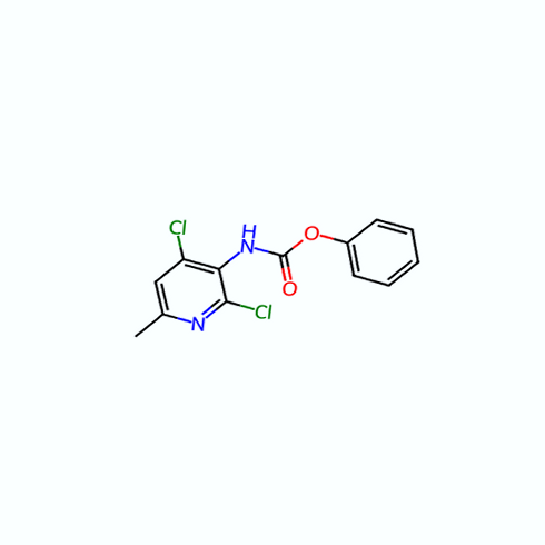 Cc1cc(Cl)c(NC(=O)Oc2ccccc2)c(Cl)n1